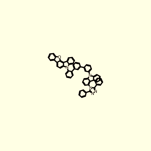 c1ccc(-c2nnc(-c3ccccc3)n2-c2cccc3c2c2ccccc2n3-c2cccc(-c3cccc(-c4ccccc4-n4c5ccccc5c5c6oc7ccccc7c6ccc54)c3)c2)cc1